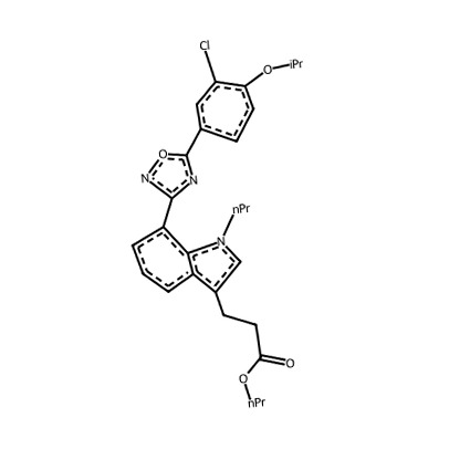 CCCOC(=O)CCc1cn(CCC)c2c(-c3noc(-c4ccc(OC(C)C)c(Cl)c4)n3)cccc12